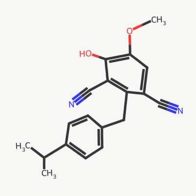 COc1cc(C#N)c(Cc2ccc(C(C)C)cc2)c(C#N)c1O